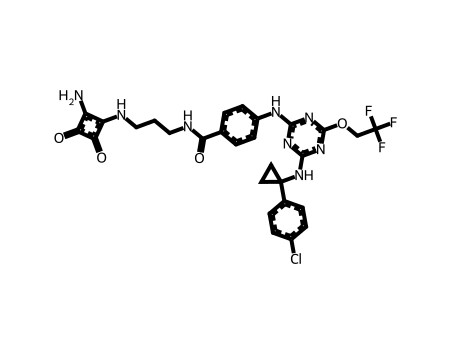 Nc1c(NCCCNC(=O)c2ccc(Nc3nc(NC4(c5ccc(Cl)cc5)CC4)nc(OCC(F)(F)F)n3)cc2)c(=O)c1=O